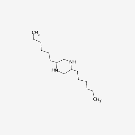 [CH2]CCCCCC1CNC(CCCCCC)CN1